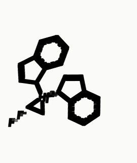 C1=C[CH]([Hf+2]2([CH]3C=Cc4ccccc43)[CH2][CH2]2)c2ccccc21.[F-].[F-]